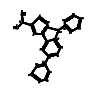 O=NB(O)c1ccc2c(c1)c1cc(-c3ccccc3)ccc1n2-c1ccccc1